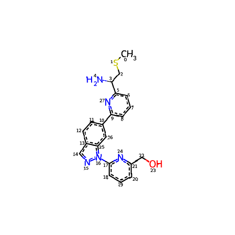 CSCC(N)c1cccc(-c2ccc3cnn(-c4cccc(CO)n4)c3c2)n1